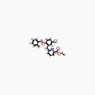 CCOC(=O)c1cccc(Cc2cc(Cl)ccc2OCc2ccccc2F)n1